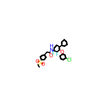 CCS(=O)(=O)c1ccc(CC(=O)NC2(F)C=CC(c3ccccc3)=C(Oc3cccc(Cl)c3)C2F)cc1